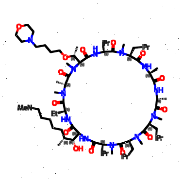 CC[C@@H]1NC(=O)[C@H]([C@H](O)[C@H](C)CCCCCNC)NC(=O)[C@H](C(C)C)N(C)C(=O)[C@H](CC(C)C)N(C)C(=O)[C@H](CC(C)C)N(C)C(=O)[C@@H](C)NC(=O)[C@H](C)NC(=O)[C@H](CC(C)C)N(C)C(=O)[C@H](C(C)C)NC(=O)[C@H]([C@@H](C)OCCCCN2CCOCC2)N(C)C(=O)[C@@H](C)N(C)C1=O